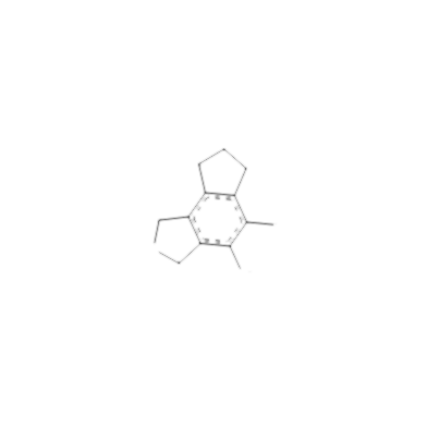 CC(C)c1c(I)c2c(c3c1COC3)CCC2